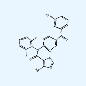 Cc1cccc(C(=O)c2ccc(N(C(=O)c3snnc3C)c3c(F)cccc3F)nc2)c1